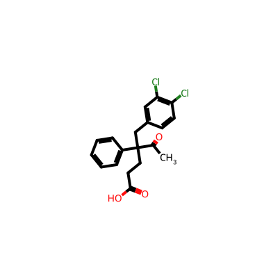 CC(=O)C(CCC(=O)O)(Cc1ccc(Cl)c(Cl)c1)c1ccccc1